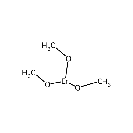 C[O][Er]([O]C)[O]C